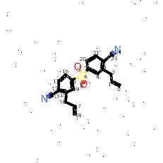 C=CCc1cc(S(=O)(=O)c2ccc(C#N)c(CC=C)c2)ccc1C#N